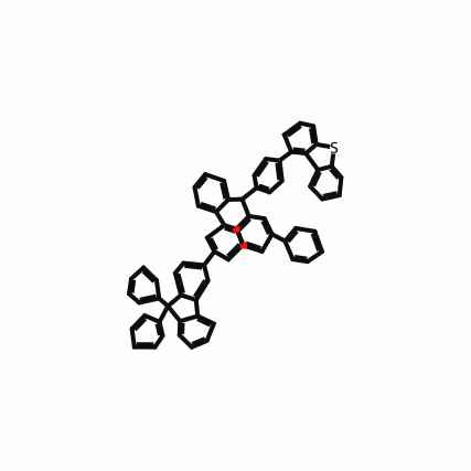 c1ccc(-c2cccc(C(c3ccc(-c4cccc5sc6ccccc6c45)cc3)c3ccccc3-c3cccc(-c4ccc5c(c4)-c4ccccc4C5(c4ccccc4)c4ccccc4)c3)c2)cc1